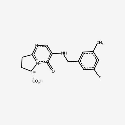 Cc1cc(F)cc(CNc2cnc3n(c2=O)[C@H](C(=O)O)CC3)c1